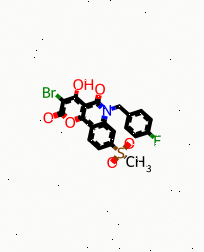 CS(=O)(=O)c1ccc2c3oc(=O)c(Br)c(O)c3c(=O)n(Cc3ccc(F)cc3)c2c1